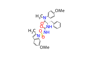 COc1ccc(N(C)C(=O)[C@H](Cc2ccccc2)NC(=O)NS(=O)(=O)n2c(C)cc3ccc(OC)cc32)cc1